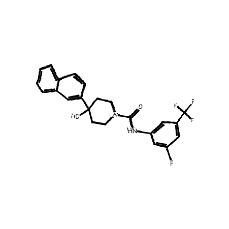 O=C(Nc1cc(F)cc(C(F)(F)F)c1)N1CCC(O)(c2ccc3ccccc3c2)CC1